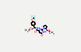 COC[C@@H]1CCCN1c1nc(C(=O)N[C@H](COC)c2ccc(OC(F)(F)F)cc2)cc(=O)[nH]1